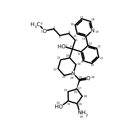 COCCCCC(O)(c1ccccc1-c1ccccn1)C1CCCN(C(=O)[C@H]2CC(N)C(O)C2)C1